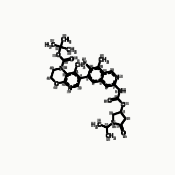 Cc1c(-c2cc3cc(NC(=O)OC4CC(=O)N(C(C)C)C4)ncc3c(C)c2F)cnc2c1N(C(=O)OC(C)(C)C)CCO2